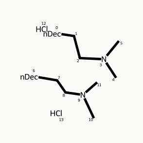 CCCCCCCCCCCCN(C)C.CCCCCCCCCCCCN(C)C.Cl.Cl